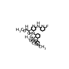 CONC(=O)c1cnc(Nc2cccc(F)n2)cc1Nc1cccc(-c2cnn(C)c2)c1N(C)S(C)(=O)=O